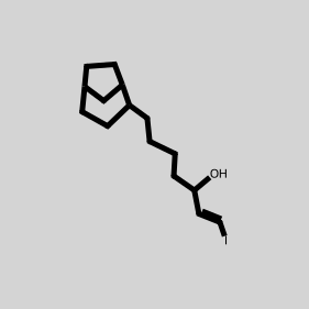 OC(/C=C/I)CCCCC1CCC2CCC1C2